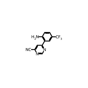 N#Cc1cc(-c2cc(C(F)(F)F)ccc2N)ncn1